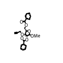 C#CCO[C@H]1[C@@H](OC(=O)c2ccccc2)[C@H](OC)O[C@@H]1COC(=O)c1ccccc1